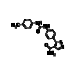 Cc1ccc(NC(=O)Nc2ccc(-c3sncc3C(N)=O)cc2)cc1